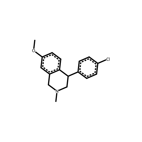 COc1ccc2c(c1)CN(C)CC2c1ccc(Cl)cc1